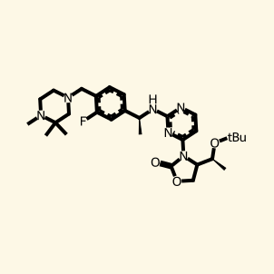 C[C@H](Nc1nccc(N2C(=O)OCC2[C@H](C)OC(C)(C)C)n1)c1ccc(CN2CCN(C)C(C)(C)C2)c(F)c1